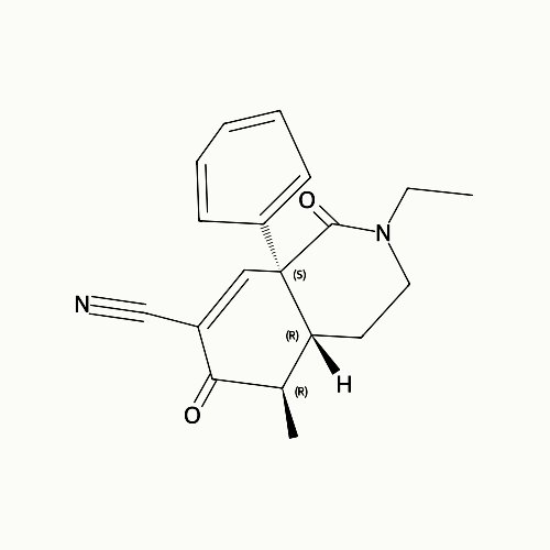 CCN1CC[C@@H]2[C@@H](C)C(=O)C(C#N)=C[C@@]2(c2ccccc2)C1=O